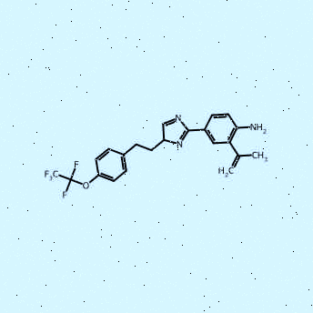 C=C(C)c1cc(C2=NC(CCc3ccc(OC(F)(F)C(F)(F)F)cc3)C=N2)ccc1N